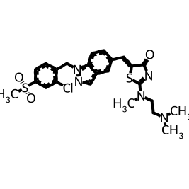 CN(C)CCN(C)C1=NC(=O)C(=Cc2ccc3c(cnn3Cc3ccc(S(C)(=O)=O)cc3Cl)c2)S1